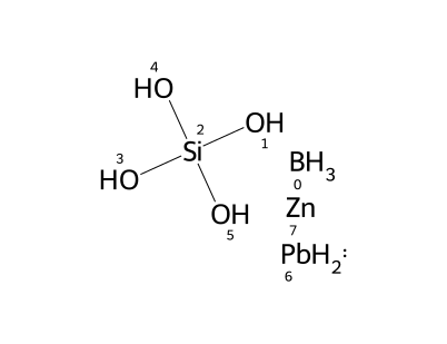 B.O[Si](O)(O)O.[PbH2].[Zn]